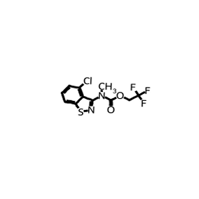 CN(C(=O)OCC(F)(F)F)c1nsc2cccc(Cl)c12